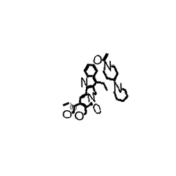 C=C(Oc1ccc2nc3c(c(CC)c2c1)Cn1c-3cc2c(c1=O)COC(=O)[C@@H]2CC)N1CCC(N2CCCCC2)CC1